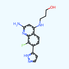 Nc1cc(NCCCO)c2ccc(-c3ccn[nH]3)c(F)c2n1